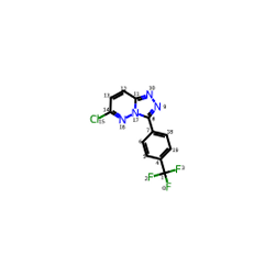 FC(F)(F)c1ccc(-c2nnc3ccc(Cl)nn23)cc1